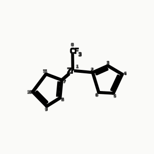 F[C](F)(F)[Zr]([C]1=CC=CC1)[C]1=CC=CC1